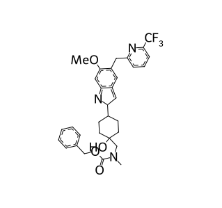 COc1cc2c(cc1Cc1cccc(C(F)(F)F)n1)=CC(C1CCC(O)(CN(C)C(=O)OCc3ccccc3)CC1)N=2